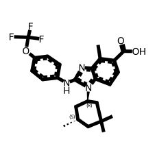 Cc1c(C(=O)O)ccc2c1nc(Nc1ccc(OC(F)(F)F)cc1)n2[C@@H]1C[C@@H](C)CC(C)(C)C1